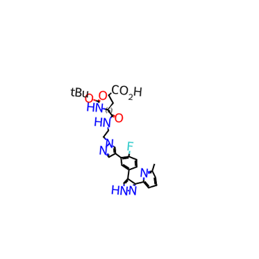 Cc1cccc(-c2n[nH]cc2-c2ccc(F)c(-c3cnn(CCNC(=O)[C@H](CCC(=O)O)NC(=O)OC(C)(C)C)c3)c2)n1